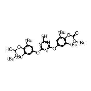 CC(C)(C)OC(=O)Oc1c(C(C)(C)C)cc(Oc2nc(S)nc(Oc3cc(C(C)(C)C)c(OC(O)OC(C)(C)C)c(C(C)(C)C)c3)n2)cc1C(C)(C)C